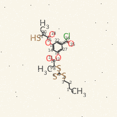 CCCCSC(=S)SC(C)C(=O)Oc1cc(OC(=O)C(C)S)cc(C(=O)Cl)c1